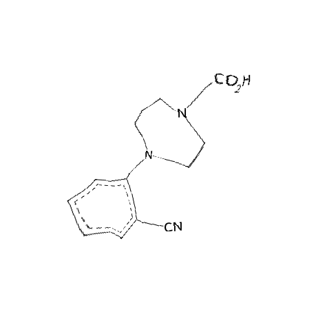 N#Cc1ccccc1N1CCN(C(=O)O)CC1